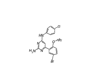 CCCOc1ccc(Br)cc1-c1cc(Nc2ccc(Cl)cc2)nc(N)n1